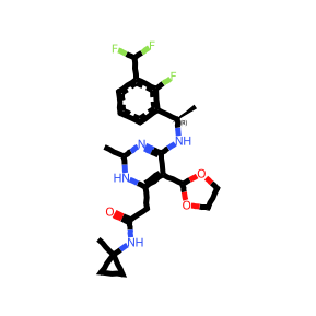 CC1N=C(N[C@H](C)c2cccc(C(F)F)c2F)C(C2OCCO2)=C(CC(=O)NC2(C)CC2)N1